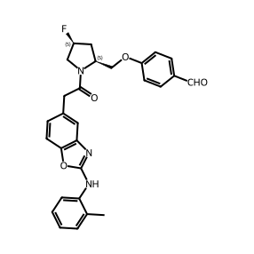 Cc1ccccc1Nc1nc2cc(CC(=O)N3C[C@@H](F)C[C@H]3COc3ccc(C=O)cc3)ccc2o1